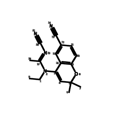 CCN(C1=CC(C)(C)Oc2ccc(C#N)cc21)C(C)=NC#N